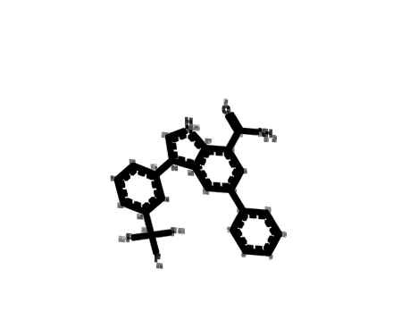 NC(=O)c1cc(-c2ccccc2)cc2c(-c3cccc(C(F)(F)F)c3)c[nH]c12